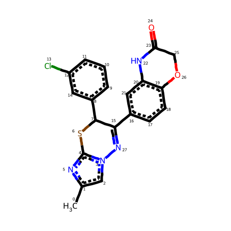 Cc1cn2c(n1)SC(c1cccc(Cl)c1)C(c1ccc3c(c1)NC(=O)CO3)=N2